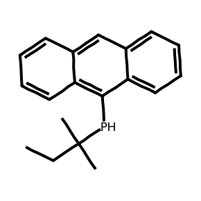 CCC(C)(C)Pc1c2ccccc2cc2ccccc12